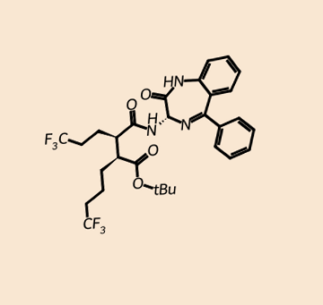 CC(C)(C)OC(=O)[C@@H](CCCC(F)(F)F)[C@@H](CCC(F)(F)F)C(=O)N[C@H]1N=C(c2ccccc2)c2ccccc2NC1=O